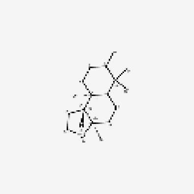 CC1CC[C@@]2(C)C(CC[C@@]3(C)OCC[C@@H]32)C1(C)C